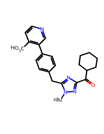 CCCCn1nc(C(=O)C2CCCCC2)nc1Cc1ccc(-c2cnccc2C(=O)O)cc1